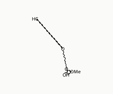 C#CC#CC#CC#CC#CC#CC#CC#CC#CC#CC#COCCCCCCCCCCCCOc1cc(OC)ccc1CO